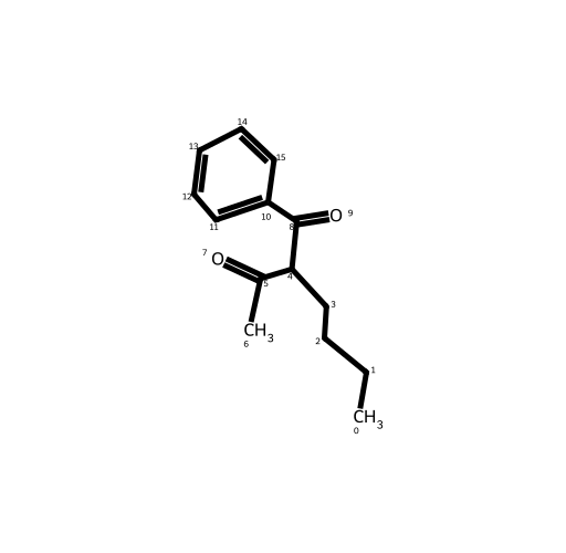 CCCCC(C(C)=O)C(=O)c1ccccc1